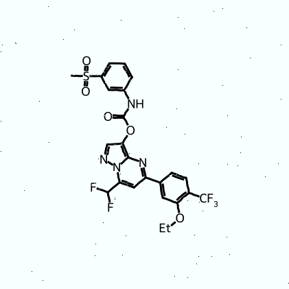 CCOc1cc(-c2cc(C(F)F)n3ncc(OC(=O)Nc4cccc(S(C)(=O)=O)c4)c3n2)ccc1C(F)(F)F